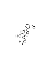 CCOC(=O)C(CO)NC(=O)c1cccc(C=O)c1